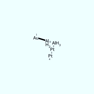 [AlH2][Au].[AlH3].[Pt].[Pt]